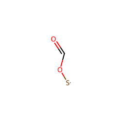 O=CO[S]